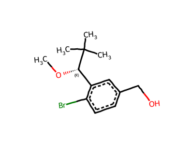 CO[C@@H](c1cc(CO)ccc1Br)C(C)(C)C